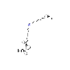 CCCCCCCC/C=C\CCCCCCCC(=O)N1CCCC(C(=O)O)C1